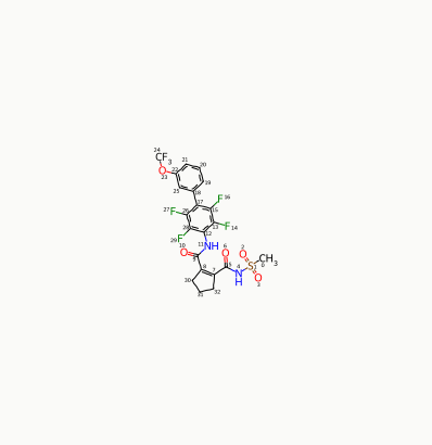 CS(=O)(=O)NC(=O)C1=C(C(=O)Nc2c(F)c(F)c(-c3cccc(OC(F)(F)F)c3)c(F)c2F)CCC1